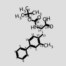 Cc1cc(-c2ccccc2)ccc1C[C@H](NC(=O)OC(C)(C)C)C(=O)O